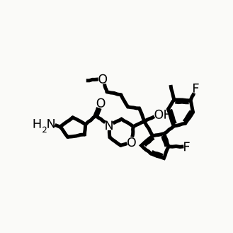 COCCCCC(O)(c1cccc(F)c1-c1ccc(F)c(C)c1)C1CN(C(=O)C2CCC(N)C2)CCO1